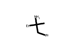 CCC(C)(N)CC(C)C